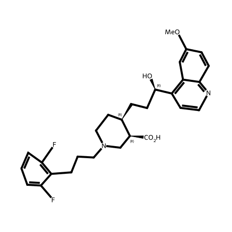 COc1ccc2nccc([C@H](O)CC[C@@H]3CCN(CCCc4c(F)cccc4F)C[C@@H]3C(=O)O)c2c1